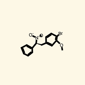 COc1cc(C[C@@H](c2ccccc2)[N+](=O)[O-])ccc1Br